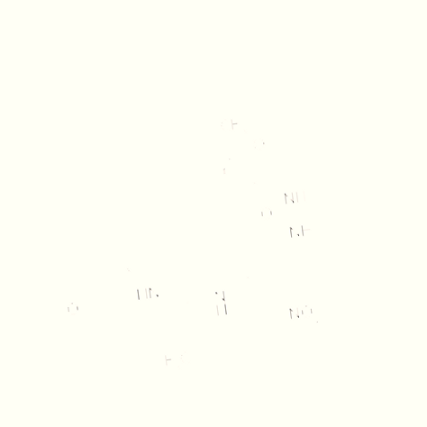 O=[N+]([O-])C1CC(C(F)(F)F)C2NC1C1NNC(O1)[C@@](OCc1ccccc1)(C(F)(F)F)CCCCCC1(CCOCC1)N2